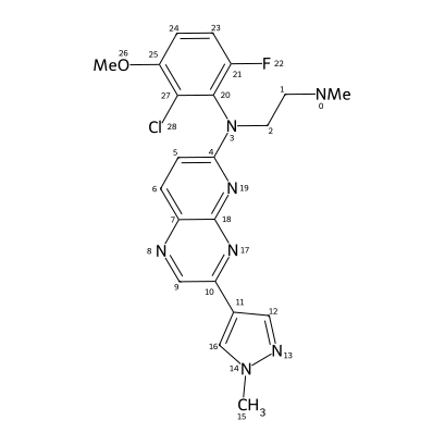 CNCCN(c1ccc2ncc(-c3cnn(C)c3)nc2n1)c1c(F)ccc(OC)c1Cl